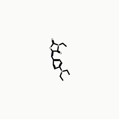 CCN1C(=O)O/C(=C/c2ccc(N(CC)CC)cc2)C1=O